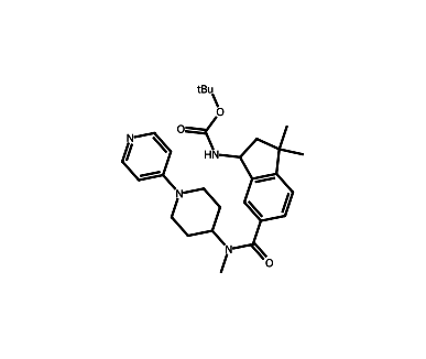 CN(C(=O)c1ccc2c(c1)C(NC(=O)OC(C)(C)C)CC2(C)C)C1CCN(c2ccncc2)CC1